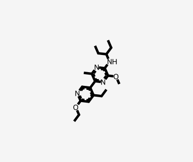 CCOc1cc(CC)c(-c2nc(OC)c(NC(CC)CC)nc2C)cn1